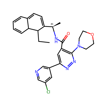 CCC1C([C@@H](C)NC(=O)c2cc(-c3cncc(Cl)c3)nnc2N2CCOCC2)=CC=C2C=CC=CC21